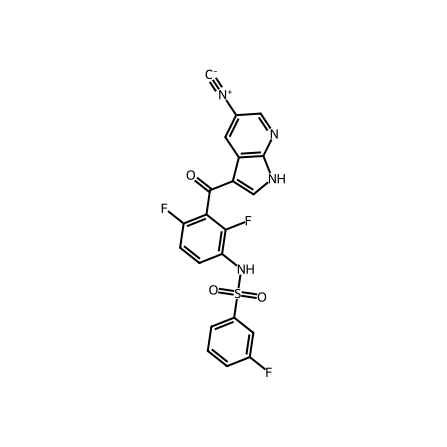 [C-]#[N+]c1cnc2[nH]cc(C(=O)c3c(F)ccc(NS(=O)(=O)c4cccc(F)c4)c3F)c2c1